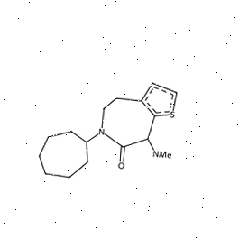 CNC1C(=O)N(C2CCCCCC2)CCc2ccsc21